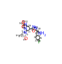 COCCN(CC1CC1C)c1cc(-c2nnc([C@@](C)(N)Cc3ccc(F)cc3)o2)cc(N(C)S(C)(=O)=O)n1